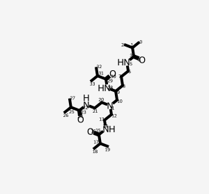 CC(C)C(=O)NCCCC(CN(CCNC(=O)C(C)C)CCNC(=O)C(C)C)NC(=O)C(C)C